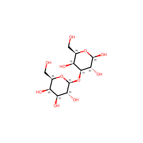 OC[C@H]1O[C@@H](O[C@@H]2[C@@H](O)[C@H](O)O[C@H](CO)[C@@H]2O)[C@H](O)[C@@H](O)[C@H]1O